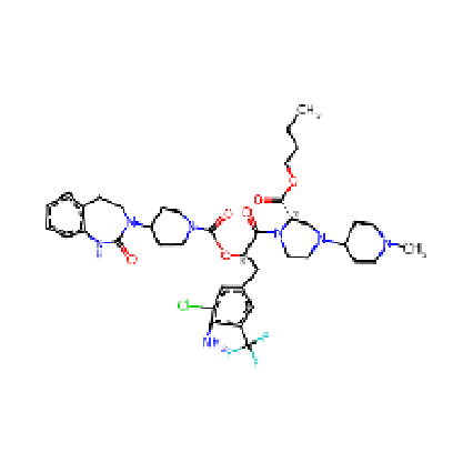 CCCCOC(=O)[C@@H]1CN(C2CCN(C)CC2)CCN1C(=O)[C@@H](Cc1cc(Cl)c(N)c(C(F)(F)F)c1)OC(=O)N1CCC(N2CCc3ccccc3NC2=O)CC1